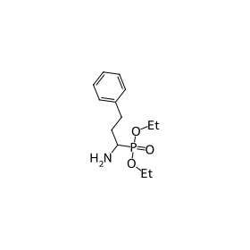 CCOP(=O)(OCC)C(N)CCc1ccccc1